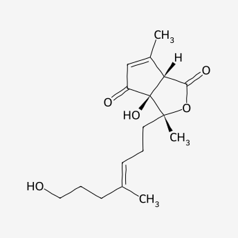 CC1=CC(=O)[C@]2(O)[C@H]1C(=O)O[C@]2(C)CC/C=C(\C)CCCO